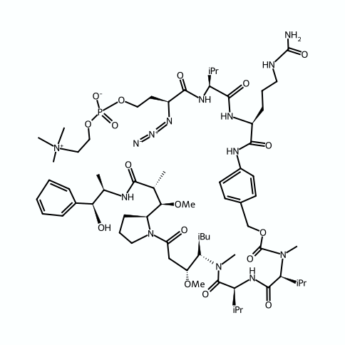 CC[C@H](C)[C@@H]([C@@H](CC(=O)N1CCC[C@H]1[C@H](OC)[C@@H](C)C(=O)N[C@H](C)[C@@H](O)c1ccccc1)OC)N(C)C(=O)[C@@H](NC(=O)[C@H](C(C)C)N(C)C(=O)OCc1ccc(NC(=O)[C@H](CCCNC(N)=O)NC(=O)[C@@H](NC(=O)[C@H](CCOP(=O)([O-])OCC[N+](C)(C)C)N=[N+]=[N-])C(C)C)cc1)C(C)C